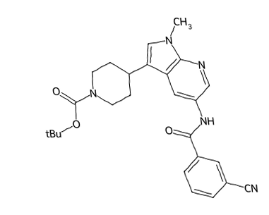 Cn1cc(C2CCN(C(=O)OC(C)(C)C)CC2)c2cc(NC(=O)c3cccc(C#N)c3)cnc21